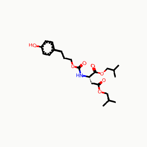 CC(C)COC(=O)C[C@H](NC(=O)OCCCc1ccc(O)cc1)C(=O)OCC(C)C